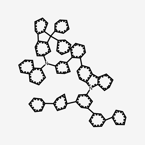 c1ccc(-c2ccc(-c3cc(-c4cccc(-c5ccccc5)c4)cc(-n4c5ccccc5c5cc(-c6ccccc6-c6cccc(N(c7ccc8c(c7)C(c7ccccc7)(c7ccccc7)c7ccccc7-8)c7cccc8ccccc78)c6)ccc54)c3)cc2)cc1